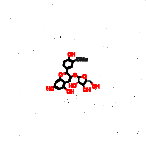 COc1cc(-c2[o+]c3cc(O)cc(O)c3cc2O[C@H]2O[C@H](CO)[C@@H](O)[C@@H]2O)ccc1O